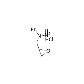 CCN(N)CC1CO1.Cl